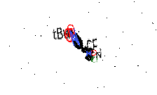 CC(C)(C)OC(=O)N1CCC(c2ccc3c(c2)C(C)(C(F)(F)F)C(=O)N3c2cccc(Cl)c2C#N)CC1